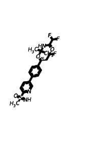 CC(C)(NC(=O)C(F)F)O[C@@H](CCF)c1ccc(-c2ccc(S(C)(=N)=O)nc2)cc1